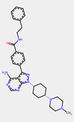 CN1CCN([C@H]2CC[C@@H](n3nc(-c4ccc(C(=O)NCCc5ccccc5)cc4)c4c(N)ncnc43)CC2)CC1